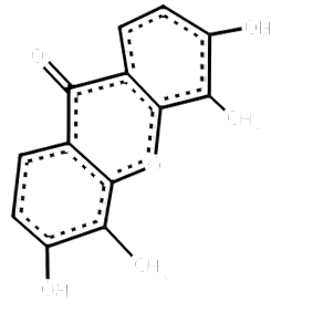 Cc1c(O)ccc2c(=O)c3ccc(O)c(C)c3oc12